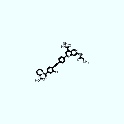 NCC(=O)Nc1cc2nc(-c3ccc(C#Cc4ccc(C(=O)N5CCCC[C@H]5C(=O)O)cc4Cl)cc3)cc(C(=O)NN)c2cn1